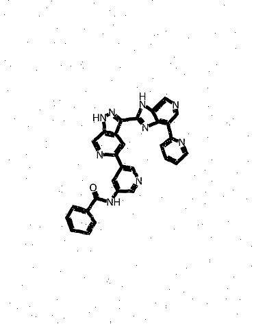 O=C(Nc1cncc(-c2cc3c(-c4nc5c(-c6ccccn6)cncc5[nH]4)n[nH]c3cn2)c1)c1ccccc1